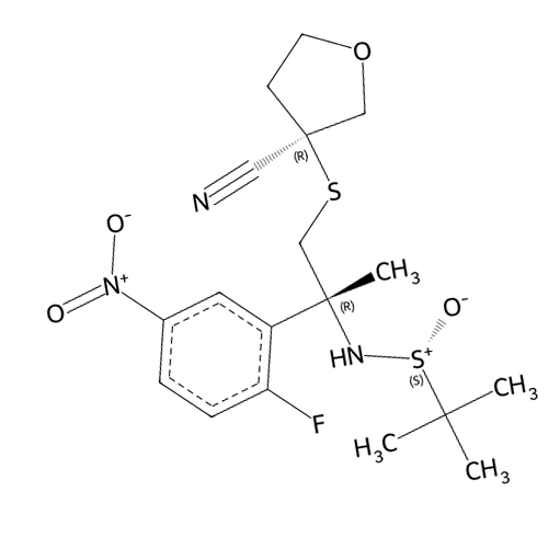 CC(C)(C)[S@@+]([O-])N[C@@](C)(CS[C@@]1(C#N)CCOC1)c1cc([N+](=O)[O-])ccc1F